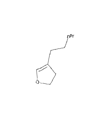 CCCCCC1=COCC1